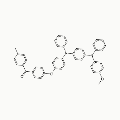 COc1ccc(N(c2ccccc2)c2ccc(N(c3ccccc3)c3ccc(Oc4ccc(C(=O)C5=C=C=C(C)C=C5)cc4)cc3)cc2)cc1